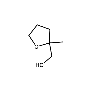 CC1(CO)CCCO1